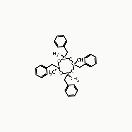 C[Si]1(Cc2ccccc2)O[Si](C)(Cc2ccccc2)O[Si](C)(Cc2ccccc2)O[Si](C)(Cc2ccccc2)O1